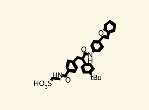 CC(C)(C)c1ccc(C(Cc2ccc(C(=O)NCCS(=O)(=O)O)cc2)C(=O)Nc2ccc(-c3cc4ccccc4o3)cc2)cc1